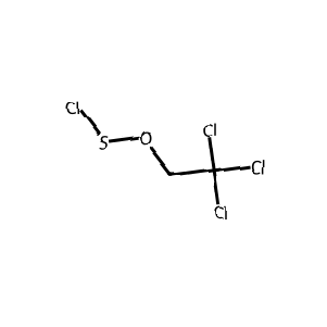 ClSOCC(Cl)(Cl)Cl